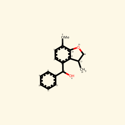 COc1ccc(C(O)c2ccccc2)c2c1OCC2C